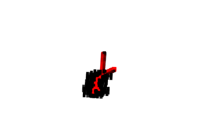 CCCCCCCCCCCCC/C=C/[C@@H](O)[C@H](CO[C@@H]1OC(CO)[C@@H](O[C@@H]2OC(CO)[C@H](O)[C@H](O[C@@H]3OC(CO)[C@@H](O[C@@H]4OC(CO)[C@H](O)[C@H](O[C@@H]5OC(CO)[C@@H](O[C@@H]6OC(CO)[C@H](O)[C@H](O)C6O[C@H]6OC(C)[C@@H](O)C(O)[C@@H]6O)[C@H](O[C@H]6OC(C)[C@@H](O)C(O)[C@@H]6O)C5NC(C)=O)C4O)[C@H](O)C3NC(C)=O)C2O)[C@H](O)C1O)NC(=O)CCCCCCCCCCCCCCCCCCCCCCCCC